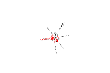 CCCCCCCCCCCCCC(CCCCCCCCCCCCC)C(CCCCCCCCCCCCC)(c1cc(C(C)(C)C)ccc1C)C(CCCCCCCCCCCCC)(CCCCCCCCCCCCC)C(CCCCCCCCCCCCC)(c1cc(C(C)(C)C)ccc1C)c1cc(C(C)(C)C)ccc1C.OP(O)O.OP(O)O.OP(O)O